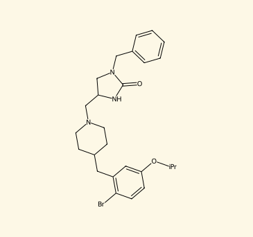 CC(C)Oc1ccc(Br)c(CC2CCN(CC3CN(Cc4ccccc4)C(=O)N3)CC2)c1